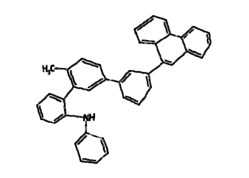 Cc1ccc(-c2cccc(-c3cc4ccccc4c4ccccc34)c2)cc1-c1ccccc1Nc1ccccc1